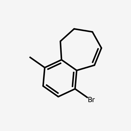 Cc1ccc(Br)c2c1CCCC=C2